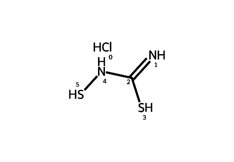 Cl.N=C(S)NS